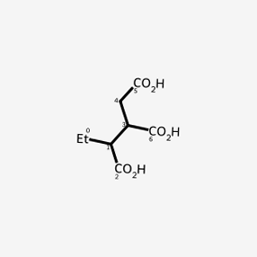 CCC(C(=O)O)C(CC(=O)O)C(=O)O